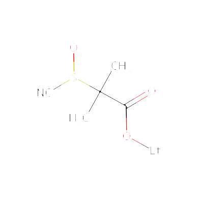 CCOC(=O)C(C)(C)[S+]([O-])C#N